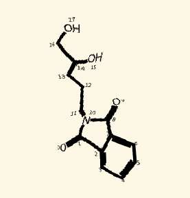 O=C1c2ccccc2C(=O)N1CCCC(O)CO